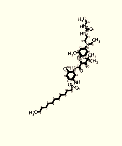 CCCCCCCCCCCCS(=O)(=O)Nc1ccc(Cl)c(NC(=O)C(=Nc2ccc(N(CC)CCNC(=O)NCC)cc2C)C(=O)C(C)(C)C)c1